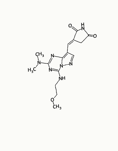 COCCNc1nc(N(C)C)nc2c(/C=C3\CC(=O)NC3=O)cnn12